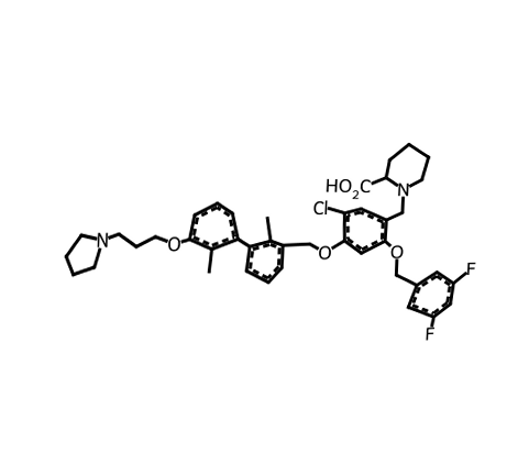 Cc1c(COc2cc(OCc3cc(F)cc(F)c3)c(CN3CCCCC3C(=O)O)cc2Cl)cccc1-c1cccc(OCCCN2CCCC2)c1C